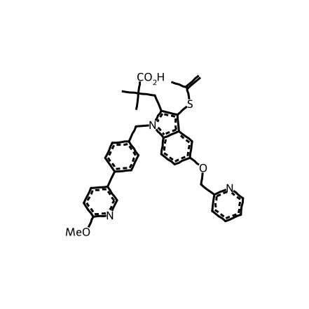 C=C(C)Sc1c(CC(C)(C)C(=O)O)n(Cc2ccc(-c3ccc(OC)nc3)cc2)c2ccc(OCc3ccccn3)cc12